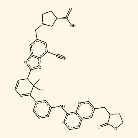 CC1(Cl)C(c2cccc(Nc3nccc4cc(CN5CCOC5=O)cnc34)c2)=CC=CC1c1nc2cc(CN3CC[C@@H](C(=O)O)C3)cc(C#N)c2o1